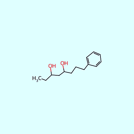 CCC(O)CC(O)CCCc1ccccc1